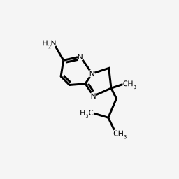 CC(C)CC1(C)CN2N=C(N)C=CC2=N1